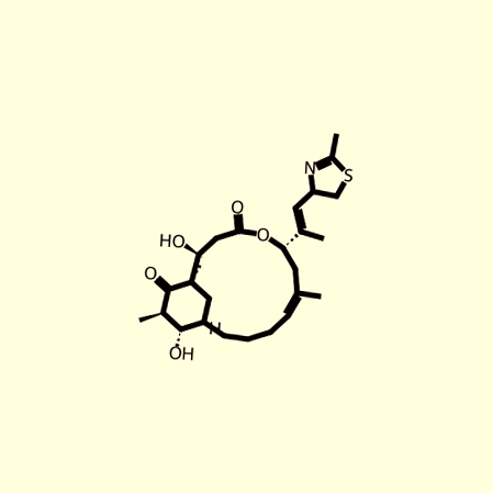 CC1=NC(/C=C(\C)[C@@H]2C/C(C)=C\CCC[C@@H]3C[C@@](C)(C(=O)[C@H](C)[C@H]3O)[C@@H](O)CC(=O)O2)CS1